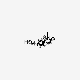 Cc1cc(OCCO)ccc1N1CCC(=O)NC1=O